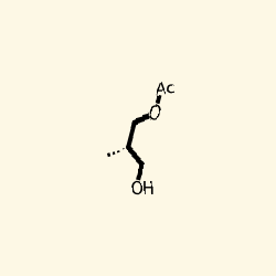 CC(=O)OC[C@@H](C)CO